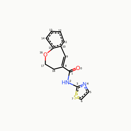 O=C(Nc1nccs1)C1=Cc2ccccc2OCC1